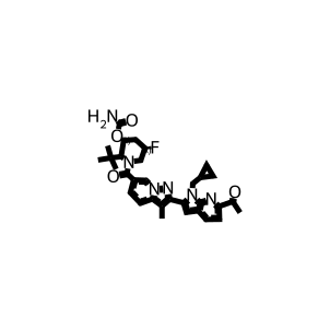 CC(=O)c1ccc2cc(-c3nn4cc(C(=O)N5C[C@H](F)C[C@@H](OC(N)=O)C5C(C)(C)C)ccc4c3C)n(CC3CC3)c2n1